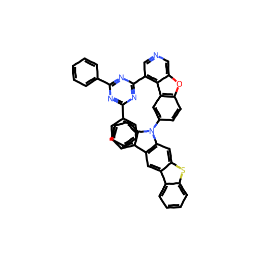 c1ccc(-c2nc(-c3ccccc3)nc(-c3cncc4oc5ccc(-n6c7ccccc7c7cc8c(cc76)sc6ccccc68)cc5c34)n2)cc1